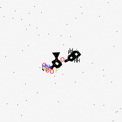 CS(=O)(=O)NC(=O)c1cc(C2CC2)c(OCC2C[C@@H]3[C@H]4CC[C@H](C4)[C@@H]3C2)cc1F